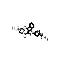 COc1ccc(-n2nc(C(=O)N3CCN(C)CC3)c3c2-c2ccccc2C3=O)cn1